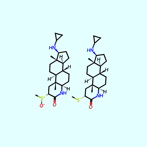 CS[C@@H]1C[C@@]2(C)[C@@H](CC[C@@H]3[C@@H]2CC[C@]2(C)[C@@H](NC4CC4)CC[C@@H]32)NC1=O.C[S+]([O-])[C@@H]1C[C@@]2(C)[C@@H](CC[C@@H]3[C@@H]2CC[C@]2(C)[C@@H](NC4CC4)CC[C@@H]32)NC1=O